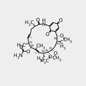 CO[C@H]1[C@@H](OC)C[C@H](C)[C@@H](OC)C2=CC(=O)C=C(NC(=O)C(C)C/C=C/[C@H](C)[C@@H](OC(N)=O)/C(C)=C/[C@@H]1C)C2=O